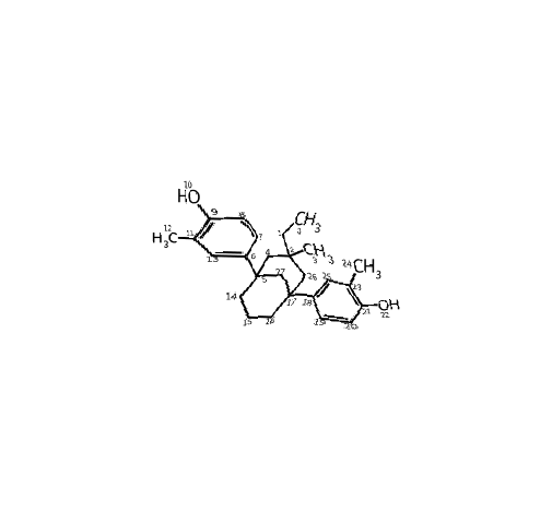 CCC1(C)CC2(c3ccc(O)c(C)c3)CCCC(c3ccc(O)c(C)c3)(C1)C2